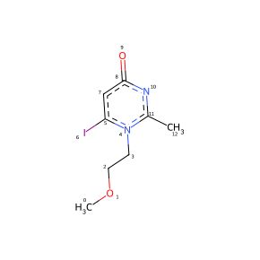 COCCn1c(I)cc(=O)nc1C